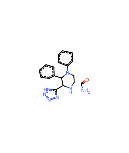 NC=O.c1ccc(C2C(c3nnn[nH]3)NCCN2c2ccccc2)cc1